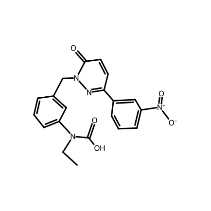 CCN(C(=O)O)c1cccc(Cn2nc(-c3cccc([N+](=O)[O-])c3)ccc2=O)c1